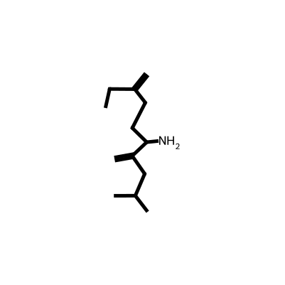 C=C(CC)CCC(N)C(=C)CC(C)C